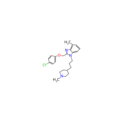 Cc1cccc2c1nc(COc1ccc(Cl)cc1)n2CCCC1CCN(C)CC1